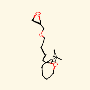 C[SiH](C)C1(CCCCOCC2CO2)CCCCO1